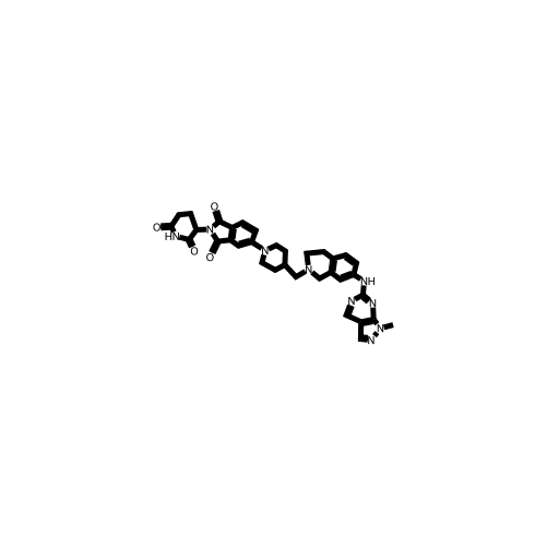 Cn1ncc2cnc(Nc3ccc4c(c3)CN(CC3CCN(c5ccc6c(c5)C(=O)N(C5CCC(=O)NC5=O)C6=O)CC3)CC4)nc21